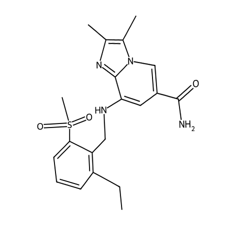 CCc1cccc(S(C)(=O)=O)c1CNc1cc(C(N)=O)cn2c(C)c(C)nc12